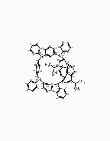 CC(C)c1cc2c3ccc4c(C(C)C)cc(c5ccc1c3c45)N(c1ccccc1)c1cccc(c1)N(c1ccccc1)c1ccc(cc1)N(c1ccccc1)c1cccc(c1)N2c1ccccc1